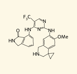 COc1cc2c(cc1Nc1ncc(C(F)(F)F)c(Nc3cccc4c3C(=O)NC4)n1)CNCC21CC1